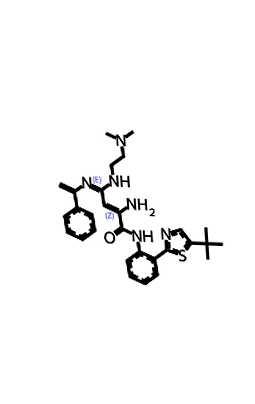 C=C(/N=C(\C=C(/N)C(=O)Nc1ccccc1-c1ncc(C(C)(C)C)s1)NCCN(C)C)c1ccccc1